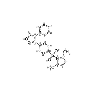 Cc1ccc(C)n1S(=O)(=O)c1ccc(-c2[c]onc2-c2ccccc2)cc1